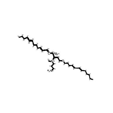 Br.CCCCCCCCCCCCOCCC(COCCCCCCCCCCCC)N(C)CCCN